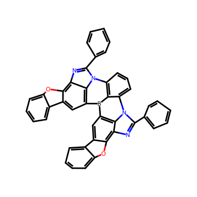 c1ccc(-c2nc3c4oc5ccccc5c4cc4c3n2-c2cccc3c2B4c2cc4c5ccccc5oc4c4nc(-c5ccccc5)n-3c24)cc1